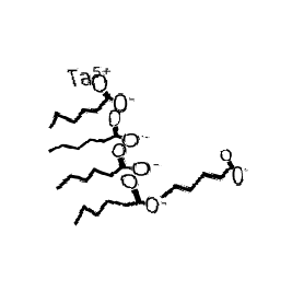 CCCCCC(=O)[O-].CCCCCC(=O)[O-].CCCCCC(=O)[O-].CCCCCC(=O)[O-].CCCCCC(=O)[O-].[Ta+5]